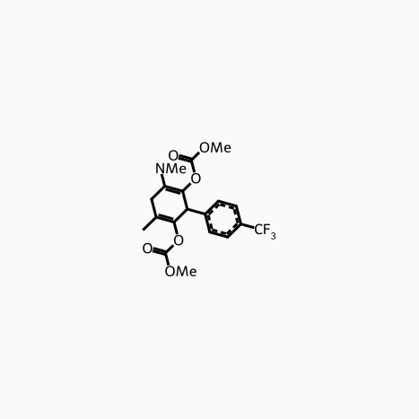 CNC1=C(OC(=O)OC)C(c2ccc(C(F)(F)F)cc2)C(OC(=O)OC)=C(C)C1